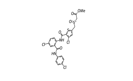 COC(=O)C[S+]([O-])Cc1cc(Cl)c(C(=O)Nc2ccc(Cl)cc2C(=O)Nc2ccc(Cl)cc2)s1